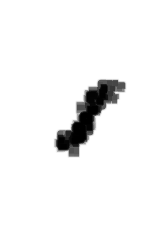 COC(=O)NC(C(=O)N1CCC[C@@H]1c1ncc(-c2ccc3c(c2)COc2c-3ccc3c2ccc2[nH]c([C@@H]4CCCN4C(=O)O)nc23)[nH]1)C(C)C